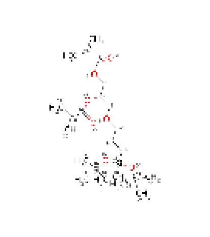 C=C(C)C(=O)OCC(COCCC[Si](C)(O[Si](C)(C)C)O[Si](C)(C)C)OC(=O)C(=C)C